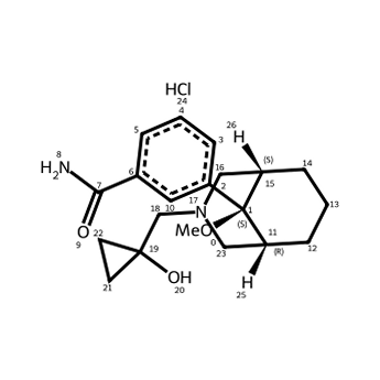 CO[C@]1(c2cccc(C(N)=O)c2)[C@@H]2CCC[C@H]1CN(CC1(O)CC1)C2.Cl